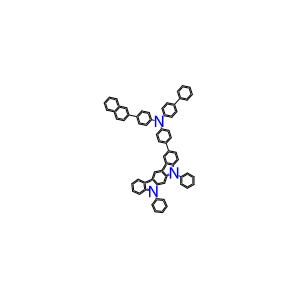 c1ccc(-c2ccc(N(c3ccc(-c4ccc5ccccc5c4)cc3)c3ccc(-c4ccc5c(c4)c4cc6c7ccccc7n(-c7ccccc7)c6cc4n5-c4ccccc4)cc3)cc2)cc1